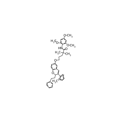 COc1cc(OC)c(NC(=O)C(C)(C)CCCOc2ccc3c(c2)C=C(c2nccn2C)C(CCc2ccccc2)O3)c(OC)c1